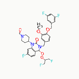 COc1cc(CN2C(=O)N(C3CCN(C=O)CC3)c3cc(F)ccc3C2OOC(CF)CF)ccc1OCc1cc(F)cc(F)c1